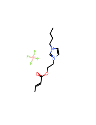 CC=CC(=O)OCC[n+]1ccn(CCCC)c1.F[B-](F)(F)F